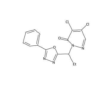 CCC(c1nnc(-c2ccccc2)o1)n1ncc(Cl)c(Cl)c1=O